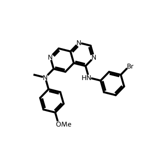 COc1ccc(N(C)c2cc3c(Nc4cccc(Br)c4)ncnc3cn2)cc1